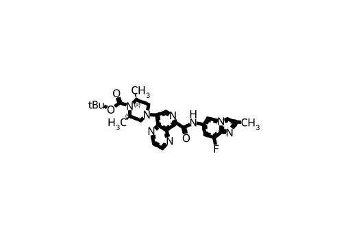 Cc1cn2cc(NC(=O)c3ncc(N4C[C@@H](C)N(C(=O)OC(C)(C)C)[C@@H](C)C4)c4nccnc34)cc(F)c2n1